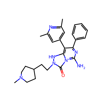 Cc1cc(-c2c(-c3ccccc3)nc(N)[n+]3c(=O)n(CCC4CCN(C)CC4)[nH]c23)cc(C)n1